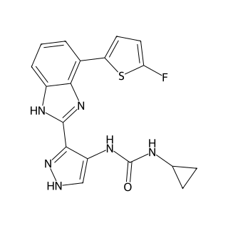 O=C(Nc1c[nH]nc1-c1nc2c(-c3ccc(F)s3)cccc2[nH]1)NC1CC1